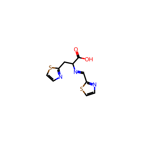 O=C(O)C(Cc1nccs1)N=Cc1nccs1